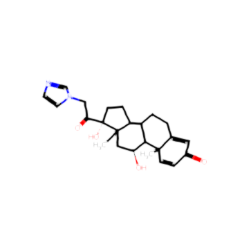 CC12C=CC(=O)C=C1CCC1C2[C@@H](O)CC2(C)C1CC[C@]2(O)C(=O)Cn1ccnc1